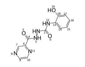 O=C(NNC(=O)c1cnccn1)Nc1ccccc1O